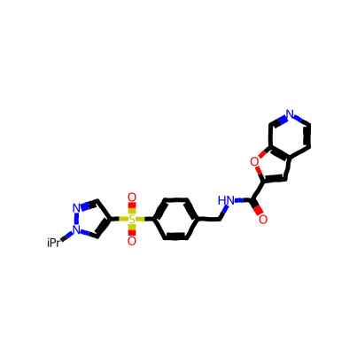 CC(C)n1cc(S(=O)(=O)c2ccc(CNC(=O)c3cc4ccncc4o3)cc2)cn1